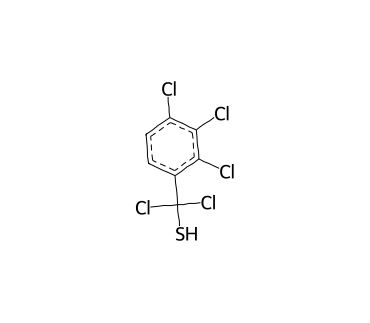 SC(Cl)(Cl)c1ccc(Cl)c(Cl)c1Cl